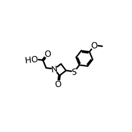 COc1ccc(SC2CN(CC(=O)O)C2=O)cc1